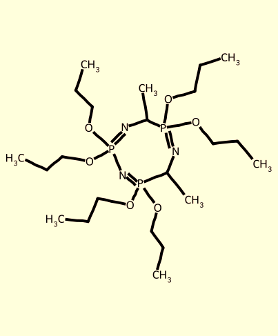 CCCOP1(OCCC)=NC(C)P(OCCC)(OCCC)=NC(C)P(OCCC)(OCCC)=N1